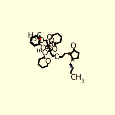 CC/C=C/[C@H]1CCC(=O)[C@@H]1CC=C=CC([16O]C1CCCCO1)([16O]C1CCCCO1)C(Br)(Oc1ccccc1)C(=O)OC